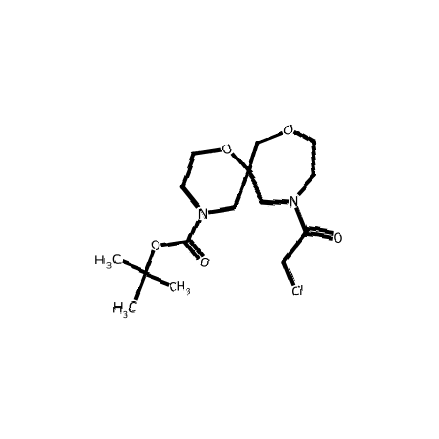 CC(C)(C)OC(=O)N1CCOC2(COCCN(C(=O)CCl)C2)C1